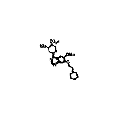 COc1cc2c(N3CCN(C(=O)O)C(C(C)(C)C)C3)ncnc2cc1OCCN1CCCCC1